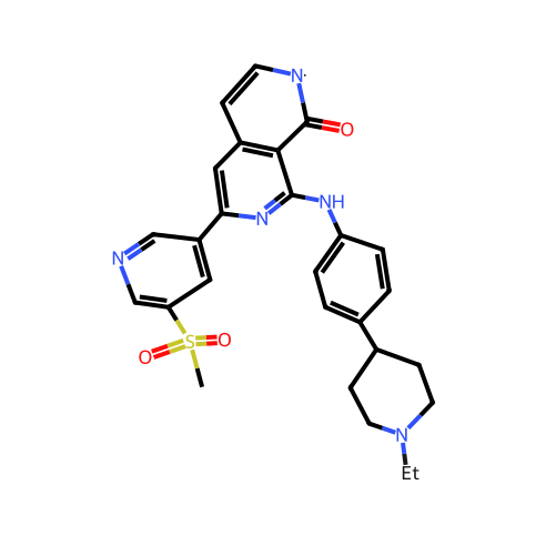 CCN1CCC(c2ccc(Nc3nc(-c4cncc(S(C)(=O)=O)c4)cc4c3C(=O)[N]C=C4)cc2)CC1